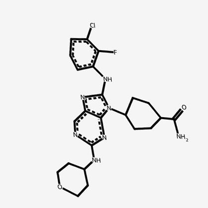 NC(=O)C1CCC(n2c(Nc3cccc(Cl)c3F)nc3cnc(NC4CCOCC4)nc32)CC1